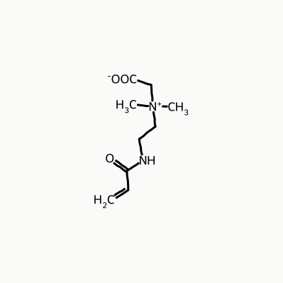 C=CC(=O)NCC[N+](C)(C)CC(=O)[O-]